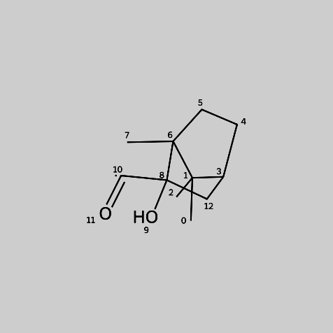 CC1(C)C2CCC1(C)C(O)([C]=O)C2